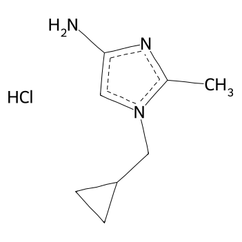 Cc1nc(N)cn1CC1CC1.Cl